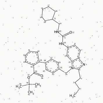 CCCCc1nc2ccc(NC(=O)NCC3CCCCC3)cc2n1Cc1ccc(-c2ccccc2C(=O)OC(C)(C)C)cc1